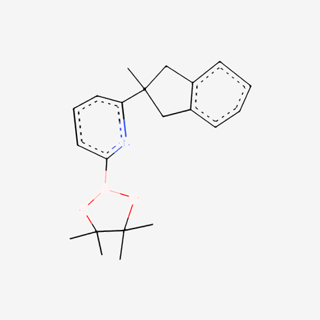 CC1(c2cccc(B3OC(C)(C)C(C)(C)O3)n2)Cc2ccccc2C1